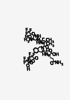 CC(C)(C)[C@H](NC[C@@H]1C[C@@H](N)CN1)C(=O)N1Cc2ccccc2C[C@H]1C(=O)N[C@@H](CCC(N)=O)C(=O)O.O=C(O)C(F)(F)F.O=C(O)C(F)(F)F.O=C(O)C(F)(F)F